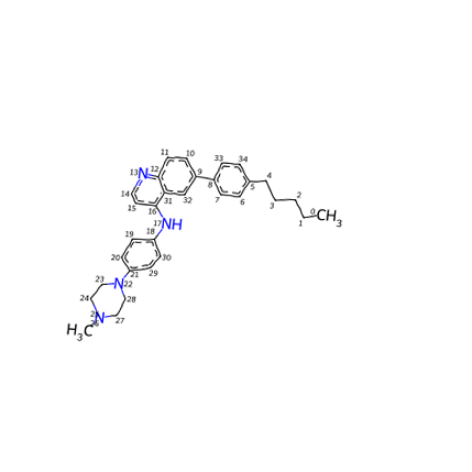 CCCCCc1ccc(-c2ccc3nccc(Nc4ccc(N5CCN(C)CC5)cc4)c3c2)cc1